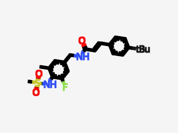 Cc1cc(CNC(=O)C=Cc2ccc(C(C)(C)C)cc2)cc(F)c1NS(C)(=O)=O